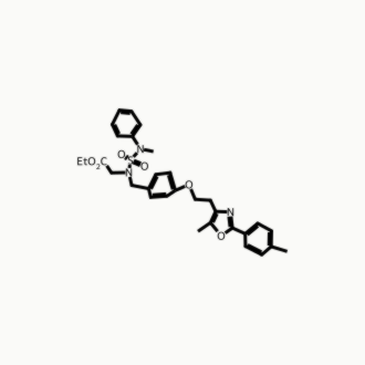 CCOC(=O)CN(Cc1ccc(OCCc2nc(-c3ccc(C)cc3)oc2C)cc1)S(=O)(=O)N(C)c1ccccc1